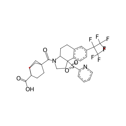 O=C(O)C12CCC(C(=O)N3CCC4(S(=O)(=O)c5ccccn5)c5ccc(C(F)(C(F)(F)F)C(F)(F)F)cc5CCC34)(CC1)CC2